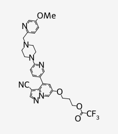 COc1ccc(CN2CCN(c3ccc(-c4cc(OCCCOC(=O)C(F)(F)F)cn5ncc(C#N)c45)cn3)CC2)nc1